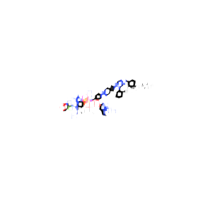 COc1ccc(CN2CCN(C3CC4(CCN(c5ccc(C(=O)NS(=O)(=O)c6cc([N+](=O)[O-])c(NCC7(F)CCOCC7)c7[nH]cnc67)c(Oc6cnc7[nH]ccc7c6)c5)CC4)C3)C(c3ccccc3C(C)C)C2)cc1